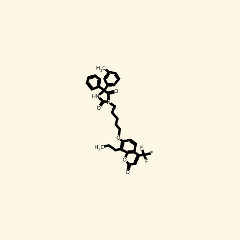 CCCc1c(OCCCCCN2C(=O)NC(c3ccccc3)(c3cccc(C)c3)C2=O)ccc2c(C(F)(F)F)cc(=O)oc12